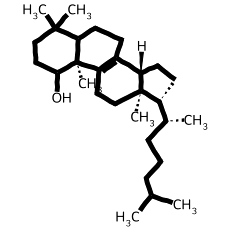 CC(C)CCC[C@@H](C)[C@H]1CC[C@H]2C3=C(CC[C@]12C)[C@@]1(C)C(O)CCC(C)(C)C1CC3